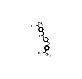 CC(C)c1ccc(CC(=O)N2CCC(Oc3ccc(C(C)C)cc3)CC2)cc1